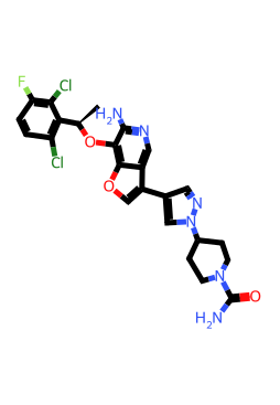 C[C@@H](Oc1c(N)ncc2c(-c3cnn(C4CCN(C(N)=O)CC4)c3)coc12)c1c(Cl)ccc(F)c1Cl